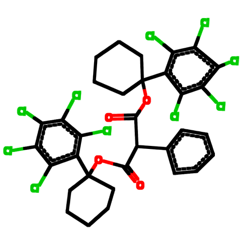 O=C(OC1(c2c(Cl)c(Cl)c(Cl)c(Cl)c2Cl)CCCCC1)C(C(=O)OC1(c2c(Cl)c(Cl)c(Cl)c(Cl)c2Cl)CCCCC1)c1ccccc1